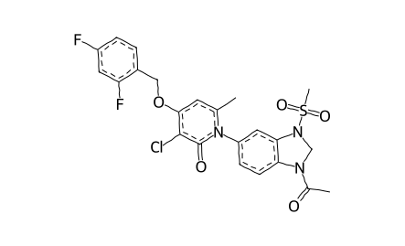 CC(=O)N1CN(S(C)(=O)=O)c2cc(-n3c(C)cc(OCc4ccc(F)cc4F)c(Cl)c3=O)ccc21